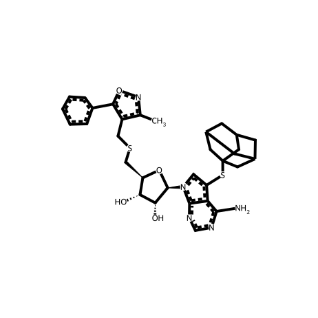 Cc1noc(-c2ccccc2)c1CSC[C@H]1O[C@@H](n2cc(SC34CC5CC(CC(C5)C3)C4)c3c(N)ncnc32)[C@H](O)[C@@H]1O